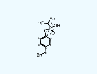 O=P(O)(Oc1ccc(CBr)cc1)C(F)F